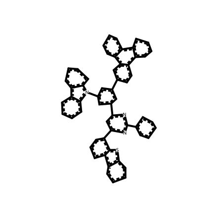 c1ccc(-c2nc(-c3cc(-c4ccc5c6ccccc6c6ccccc6c5c4)cc(-n4c5ccccc5c5ccccc54)c3)cc(-c3cccc4c3sc3ccccc34)n2)cc1